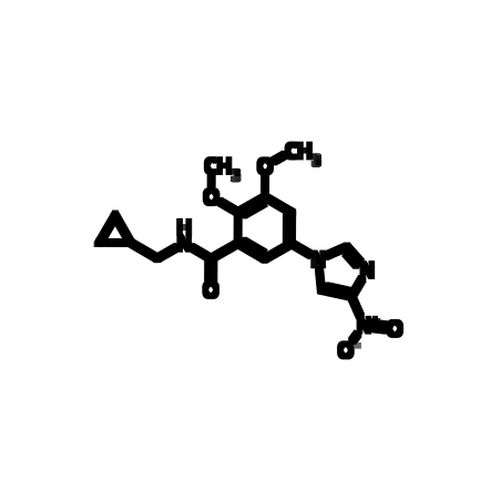 COc1cc(-n2cnc([N+](=O)[O-])c2)cc(C(=O)NCC2CC2)c1OC